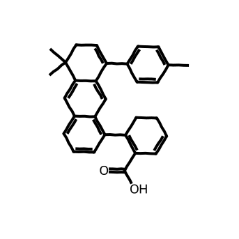 Cc1ccc(C2=CCC(C)(C)c3cc4cccc(C5=C(C(=O)O)C=CCC5)c4cc32)cc1